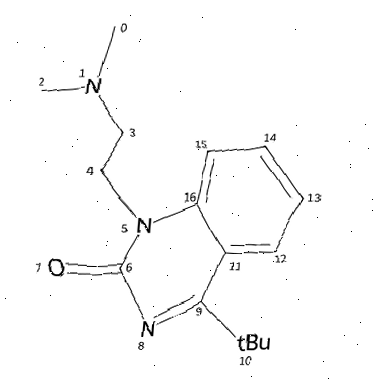 CN(C)CCn1c(=O)nc(C(C)(C)C)c2ccccc21